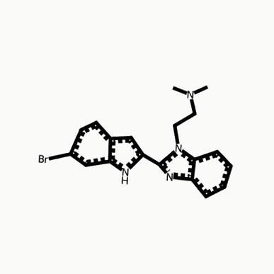 CN(C)CCn1c(-c2cc3ccc(Br)cc3[nH]2)nc2ccccc21